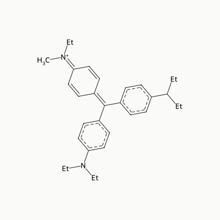 CCC(CC)c1ccc(C(=C2C=CC(=[N+](C)CC)C=C2)c2ccc(N(CC)CC)cc2)cc1